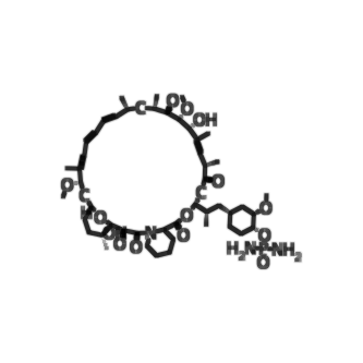 CO[C@H]1C[C@@H]2CC[C@@H](C)C(O)(O2)C(=O)C(=O)N2CCCCC2C(=O)O[C@H]([C@H](C)C[C@@H]2CC[C@@H](OP(N)(N)=O)[C@H](OC)C2)CC(=O)[C@H](C)/C=C(\C)[C@@H](O)[C@@H](OC)C(=O)[C@H](C)C[C@H](C)/C=C/C=C/C=C/1C